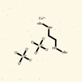 CCCCNCCNCCCC.[Cu+2].[O-][Cl+3]([O-])([O-])[O-].[O-][Cl+3]([O-])([O-])[O-]